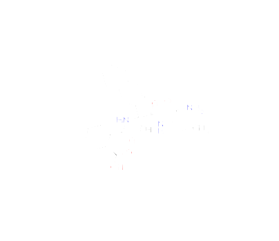 CC[C@H](NC(=O)[C@@](C)(NC(=O)[C@H]1CCCC[C@@H]1C(=O)O)c1ccc2ccccc2c1)C(N)=O